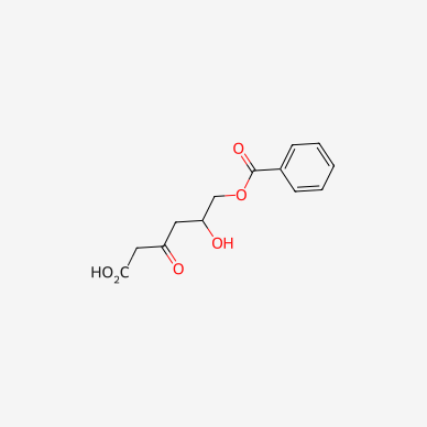 O=C(O)CC(=O)CC(O)COC(=O)c1ccccc1